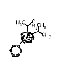 CC(C)[C]12[CH]3[C]4(c5ccccc5)[CH]5[C]1(C(C)C)[Fe]35421678[CH]2[CH]1[CH]6[CH]7[CH]28